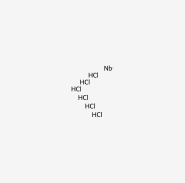 Cl.Cl.Cl.Cl.Cl.Cl.[Nb]